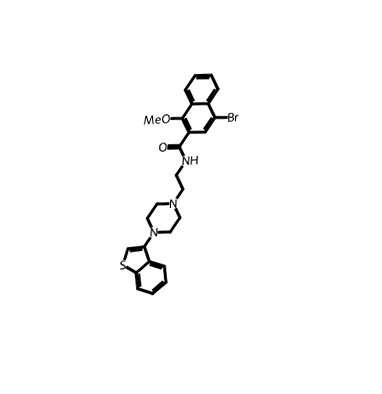 COc1c(C(=O)NCCN2CCN(c3csc4ccccc34)CC2)cc(Br)c2ccccc12